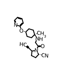 C#CC1CC[C@@H](C#N)N1C(=O)CN[C@]1(C)CC[C@@H](Oc2ccccn2)CC1